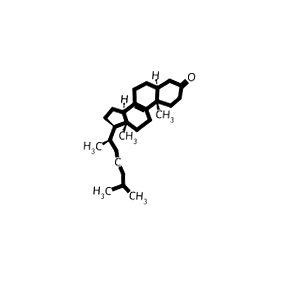 CC(C)CCC[C@@H](C)[C@H]1CC[C@H]2C3=C(CC[C@]12C)[C@@]1(C)CCC(=O)C[C@@H]1CC3